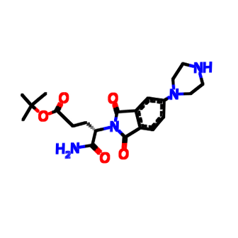 CC(C)(C)OC(=O)CC[C@@H](C(N)=O)N1C(=O)c2ccc(N3CCNCC3)cc2C1=O